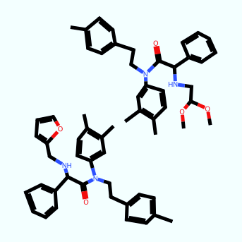 COC(CNC(C(=O)N(CCc1ccc(C)cc1)c1ccc(C)c(C)c1)c1ccccc1)OC.Cc1ccc(CCN(C(=O)C(NCc2ccco2)c2ccccc2)c2ccc(C)c(C)c2)cc1